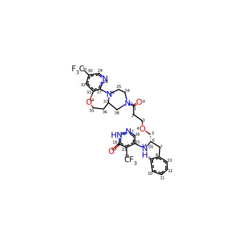 O=C(CCOC[C@H](Cc1ccccc1)Nc1cn[nH]c(=O)c1C(F)(F)F)N1CCN2c3ncc(C(F)(F)F)cc3OCCC2C1